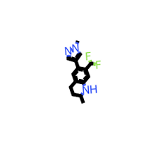 CC1CCc2cc(-c3cnn(C)c3)c(C(F)F)cc2N1